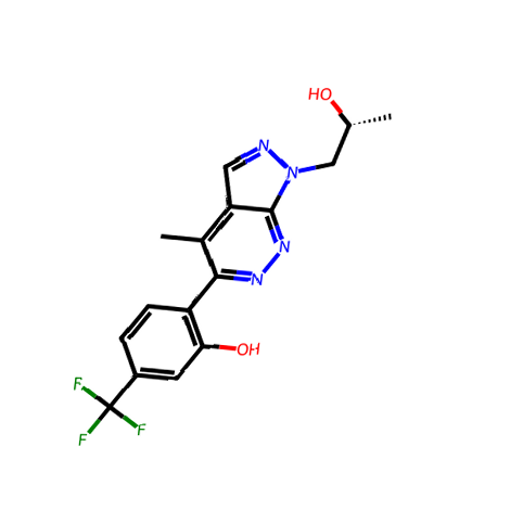 Cc1c(-c2ccc(C(F)(F)F)cc2O)nnc2c1cnn2C[C@@H](C)O